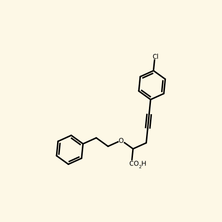 O=C(O)C(CC#Cc1ccc(Cl)cc1)OCCc1ccccc1